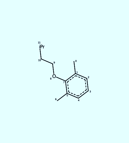 Cc1cccc(C)c1OCCC(C)C